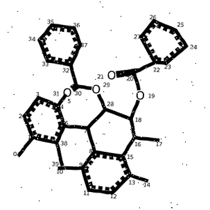 Cc1ccc(C)c(C2c3c(C)ccc(C)c3C(C)C(OC(=O)c3ccccc3)C2OC(=O)c2ccccc2)c1C